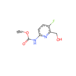 CC(C)(C)OC(=O)Nc1ccc(F)c(CO)n1